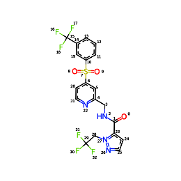 O=C(NCc1cc(S(=O)(=O)c2cccc(C(F)(F)F)c2)ccn1)c1ccnn1CC(F)(F)F